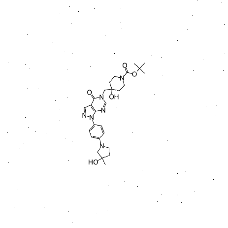 CC1(O)CCN(c2ccc(-n3ncc4c(=O)n(CC5(O)CCN(C(=O)OC(C)(C)C)CC5)cnc43)cc2)C1